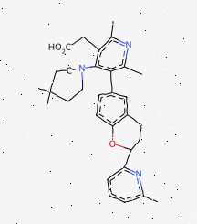 Cc1cccc(C2CCc3cc(-c4c(C)nc(C)c(CC(=O)O)c4N4CCC(C)(C)CC4)ccc3O2)n1